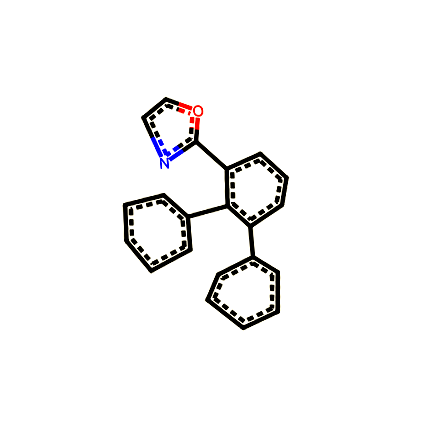 c1ccc(-c2cccc(-c3ncco3)c2-c2ccccc2)cc1